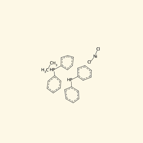 CC.[Cl][Ni][Cl].c1ccc(Pc2ccccc2)cc1.c1ccc(Pc2ccccc2)cc1